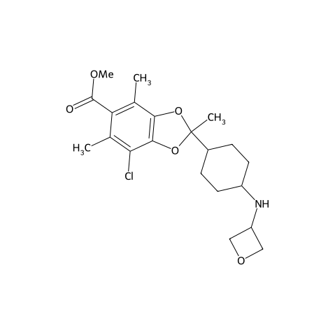 COC(=O)c1c(C)c(Cl)c2c(c1C)OC(C)(C1CCC(NC3COC3)CC1)O2